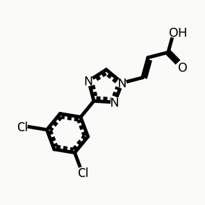 O=C(O)/C=C/n1cnc(-c2cc(Cl)cc(Cl)c2)n1